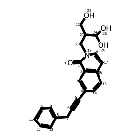 O=c1c2cc(C#CCc3ccccc3)ccc2ccn1CC(CO)C(O)O